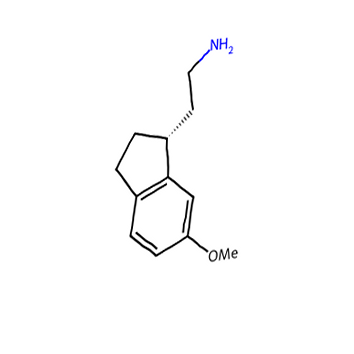 COc1ccc2c(c1)[C@@H](CCN)CC2